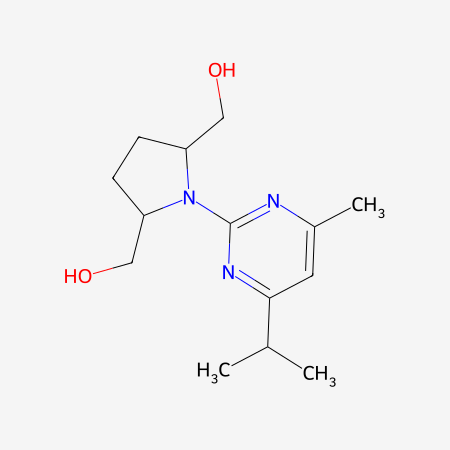 Cc1cc(C(C)C)nc(N2C(CO)CCC2CO)n1